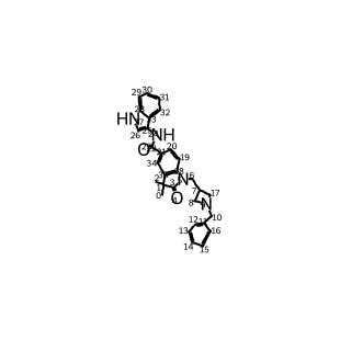 CC1(C)C(=O)N(CC2CN(Cc3ccccc3)C2)c2ccc(C(=O)Nc3c[nH]c4ccccc34)cc21